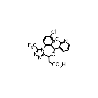 O=C(O)CC1OC(c2cccnc2C(F)(F)F)c2cc(Cl)ccc2-n2c1nnc2C(F)(F)F